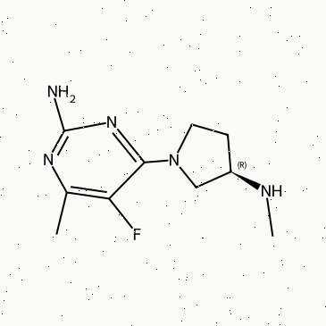 CN[C@@H]1CCN(c2nc(N)nc(C)c2F)C1